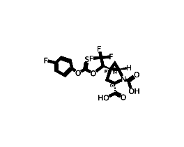 O=C(O)[C@@H]1C[C@]2(C(OC(=S)Oc3ccc(F)cc3)C(F)(F)F)C[C@@H]2N1C(=O)O